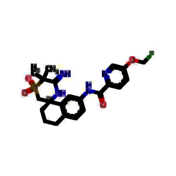 CC1(C)C(=N)N[C@@]2(CCCc3ccc(NC(=O)c4ccc(OCF)cn4)cc32)CS1(=O)=O